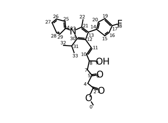 COC(=O)CC(=O)CC(O)/C=C/c1c(-c2ccc(F)cc2)c(C)n(-c2ccccc2)c1C(C)C